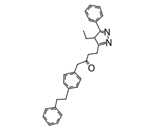 CCC1C(CCC(=O)Cc2ccc(CCc3ccccc3)cc2)=NN=C1c1ccccc1